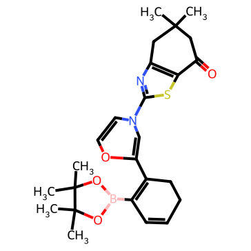 CC1(C)CC(=O)c2sc(N3C=COC(C4=C(B5OC(C)(C)C(C)(C)O5)C=CCC4)=C3)nc2C1